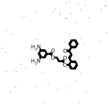 Nc1cc(N)cc(C(=O)OCCC(=O)Oc2ccccc2C=CC(=O)c2ccccc2)c1